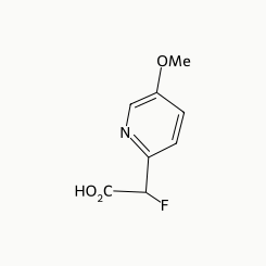 COc1ccc(C(F)C(=O)O)nc1